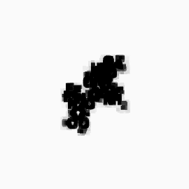 COc1cc2nc(C(F)(F)F)nc(O[C@@H]3CC(C(=O)N[C@]4(C(=O)NS(=O)(=O)C5CC5)C[C@H]4I)N(C(=O)[C@@H](N)C(C)(C)C)C3)c2cc1OC